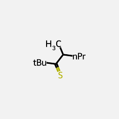 CCCC(C)C(=S)C(C)(C)C